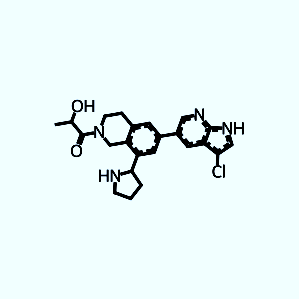 CC(O)C(=O)N1CCc2cc(-c3cnc4[nH]cc(Cl)c4c3)cc(C3CCCN3)c2C1